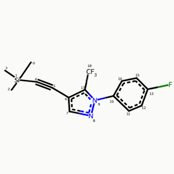 C[Si](C)(C)C#Cc1cnn(-c2ccc(F)cc2)c1C(F)(F)F